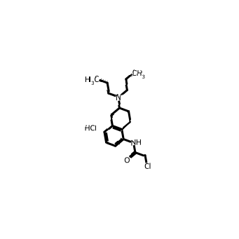 CCCN(CCC)C1CCc2c(cccc2NC(=O)CCl)C1.Cl